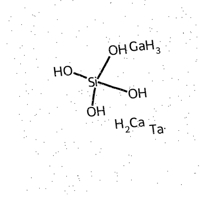 O[Si](O)(O)O.[CaH2].[GaH3].[Ta]